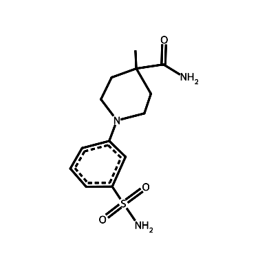 CC1(C(N)=O)CCN(c2cccc(S(N)(=O)=O)c2)CC1